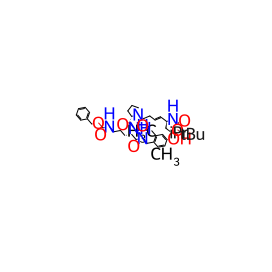 Cc1cc(O)cc(C)c1CNC(=O)[C@H](CCCNC(=O)OCc1ccccc1)NC(=O)[C@@H]1CCCN1C(=O)C/C=C/[C@H](CC(C)C)NC(=O)OC(C)(C)C